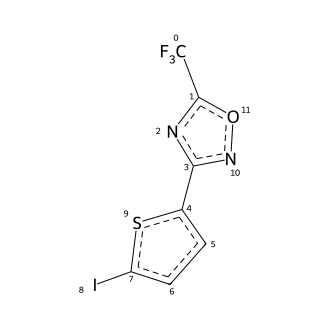 FC(F)(F)c1nc(-c2ccc(I)s2)no1